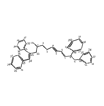 CC(CCC=CC=CC(Cc1ccccc1)c1ccccc1)CC(=Cc1ccccc1)c1ccccc1